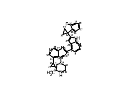 C[C@H]1CN(c2nc(-c3ccnc4[nH]c(C5(c6ccccc6F)CC5)cc34)nc3cncc(C4CC4)c23)CCN1